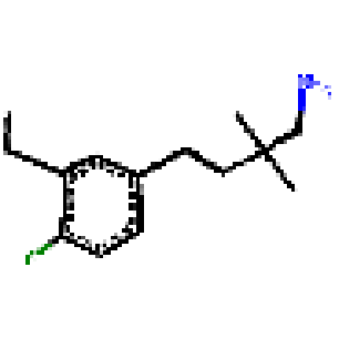 CCc1cc(CCC(C)(C)CN)ccc1F